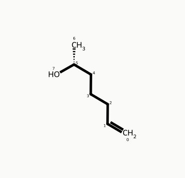 C=CCCC[C@@H](C)O